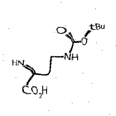 CC(C)(C)OC(=O)NCCC(=N)C(=O)O